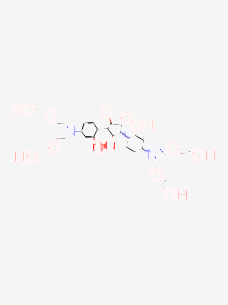 O=C1C(=O)/C(=C2/C=CC(=[N+](CCOCCO)CCOCCO)C=C2O)C(O)=C1c1ccc(N(CCOCCO)CCOCCO)cc1O